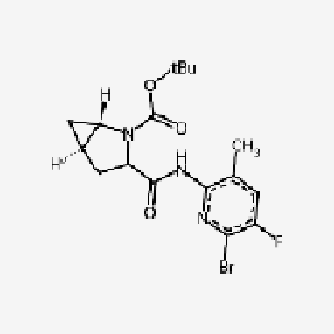 Cc1cc(F)c(Br)nc1NC(=O)C1C[C@H]2C[C@@H]2N1C(=O)OC(C)(C)C